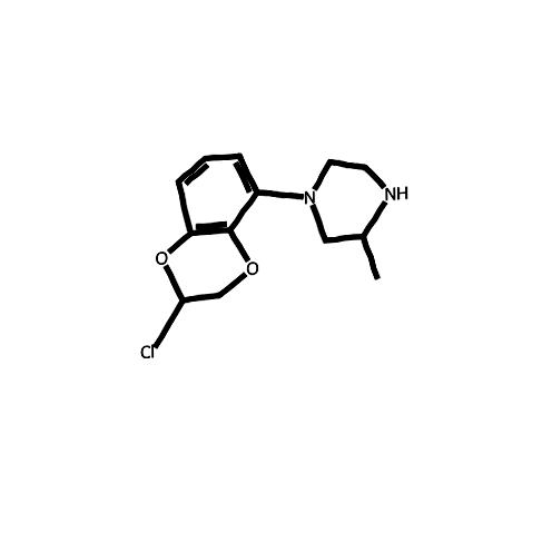 CC1CN(c2cccc3c2OCC(Cl)O3)CCN1